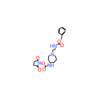 O=C(NCCN1CCC[C@H](NC(=O)ON2C(=O)CCC2=O)CC1)OCc1ccccc1